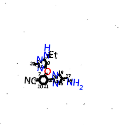 CCNc1cc(Oc2cc(C#N)ccc2-c2ncc(CN)cn2)nc(C)n1